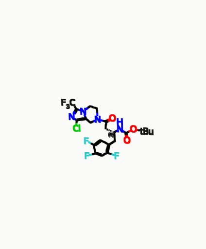 CC(C)(C)OC(=O)N[C@@H](CC(=O)N1CCn2c(C(F)(F)F)nc(Cl)c2C1)Cc1cc(F)c(F)cc1F